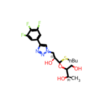 CCCCSC(OC(CO)[C@@H](C)O)[C@@H](O)Cn1cc(-c2cc(F)c(F)c(F)c2)nn1